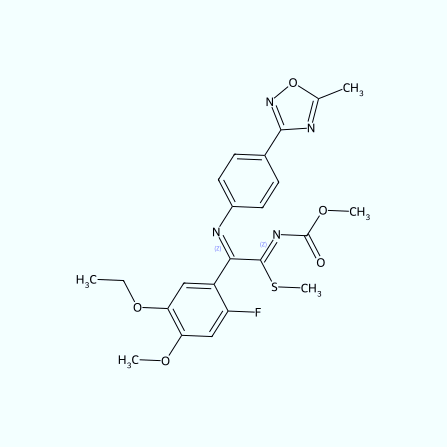 CCOc1cc(C(=N/c2ccc(-c3noc(C)n3)cc2)/C(=N/C(=O)OC)SC)c(F)cc1OC